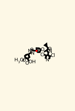 COc1ccc(-c2noc(C34CCC(OCc5c(-c6c(Cl)cncc6Cl)noc5C5CC5)(CC3)CC4)n2)cc1C(=O)O